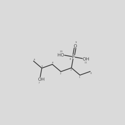 CCC(CCC(C)O)P(=O)(O)O